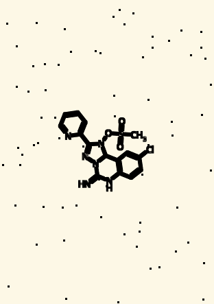 CS(=O)(=O)ON1C(c2ccccn2)=NN2C(=N)Nc3ccc(Cl)cc3C21